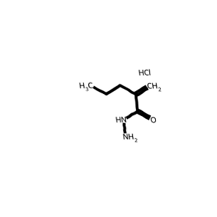 C=C(CCC)C(=O)NN.Cl